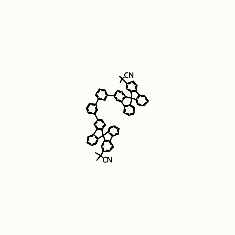 CC(C)(C#N)c1ccc2c(c1)C1(c3ccccc3-c3cc(-c4cccc(-c5cccc(-c6ccc7c(c6)-c6ccccc6C76c7ccccc7-c7ccc(C(C)(C)C#N)cc76)c5)c4)ccc31)c1ccccc1-2